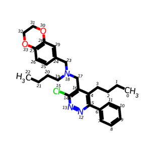 CCCCc1c(-c2ccccc2)nnc(Cl)c1CN(CCCC)Cc1ccc2c(c1)OCCO2